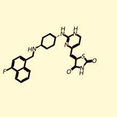 O=C1NC(=O)/C(=C/C2=CCNC(N[C@H]3CC[C@H](NCc4ccc(F)c5ccccc45)CC3)=N2)S1